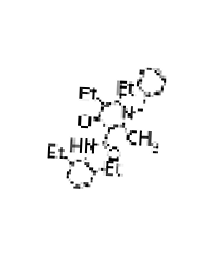 CCc1cccc(CC)c1NC(=O)c1c(C)n(Cc2ccccc2)c(CC)c(CC)c1=O